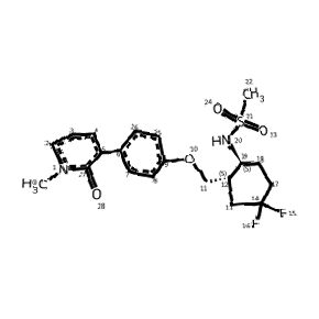 Cn1cccc(-c2ccc(OC[C@H]3CC(F)(F)CC[C@@H]3NS(C)(=O)=O)cc2)c1=O